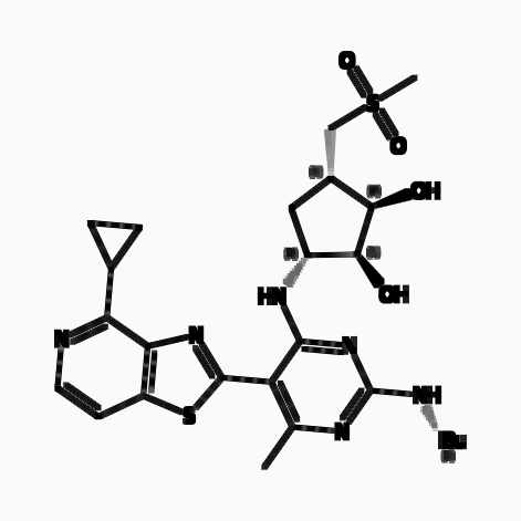 CC[C@@H](C)Nc1nc(C)c(-c2nc3c(C4CC4)nccc3s2)c(N[C@@H]2C[C@H](CS(C)(=O)=O)[C@@H](O)[C@H]2O)n1